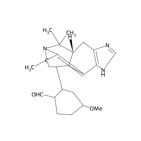 COC1CCC(C=O)C(C2CCN3C(C)=CC4=C2[C@@H](Cc2nc[nH]c24)C3(C)C)C1